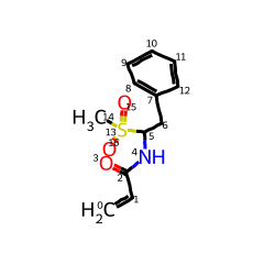 C=CC(=O)NC(Cc1ccccc1)S(C)(=O)=O